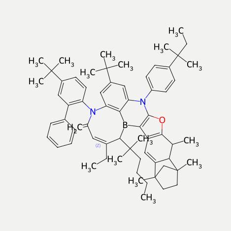 C=C1/C=C(/CC)C(C(C)(C)CCCC)B2c3c(cc(C(C)(C)C)cc3N(c3ccc(C(C)(C)CC)cc3)c3oc4c(c32)C=C2C(C4C)C3(C)CCC2(C)C3)N1c1ccc(C(C)(C)C)cc1-c1ccccc1